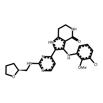 COc1c(Cl)cccc1Nc1c(-c2ccnc(NC[C@@H]3CCCO3)n2)[nH]c2c1C(=O)NCC2